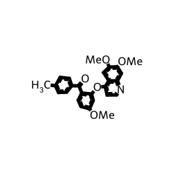 COc1ccc(C(=O)c2ccc(C)cc2)c(Oc2ccnc3cc(OC)c(OC)cc23)c1